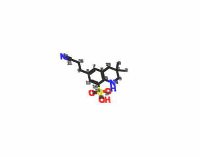 CC1(C)CNc2c(cc(CCC#N)cc2S(=O)(=O)O)C1